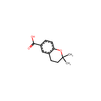 CC1(C)CCc2cc(C(=O)O)ccc2O1